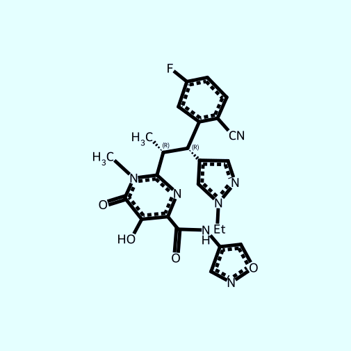 CCn1cc([C@@H](c2cc(F)ccc2C#N)[C@@H](C)c2nc(C(=O)Nc3cnoc3)c(O)c(=O)n2C)cn1